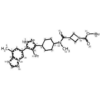 Cc1cc(-c2[nH]nc(C3CCC(N(C)C(=O)C4CN(C(=O)OC(C)(C)C)C4)CC3)c2C(C)C)cn2ncnc12